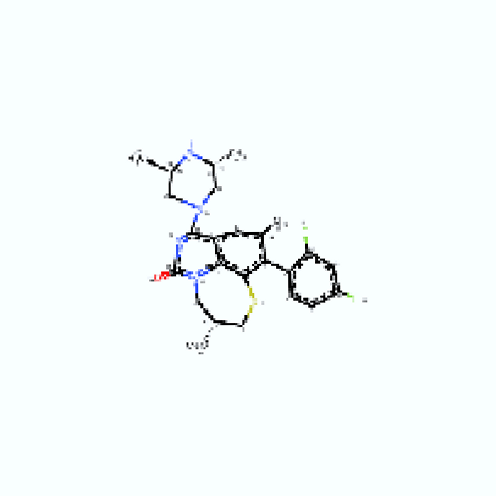 CO[C@H]1CSc2c(-c3ccc(F)cc3F)c(C(F)(F)F)cc3c(N4C[C@@H](C)N[C@H](C)C4)nc(=O)n(c23)C1